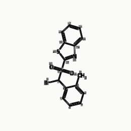 Cc1ccccc1C(Br)S(=O)(=O)c1nc2ccccc2s1